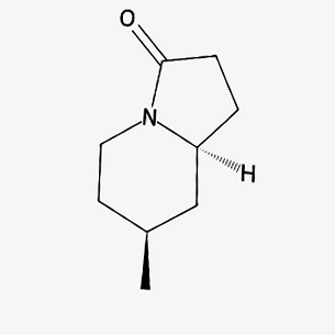 C[C@H]1CCN2C(=O)CC[C@H]2C1